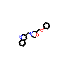 c1ccc(OCC2CN(Cc3cnc4ccccc4c3)CCO2)cc1